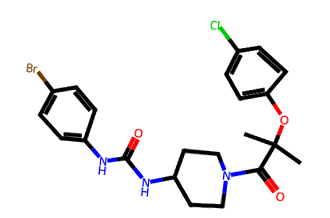 CC(C)(Oc1ccc(Cl)cc1)C(=O)N1CCC(NC(=O)Nc2ccc(Br)cc2)CC1